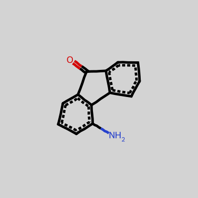 Nc1cccc2c1-c1ccccc1C2=O